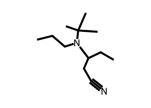 CCCN(C(CC)CC#N)C(C)(C)C